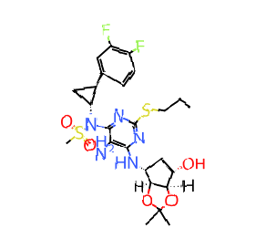 CCCSc1nc(N[C@@H]2C[C@H](O)[C@H]3OC(C)(C)O[C@H]32)c(N)c(N([C@@H]2C[C@H]2c2ccc(F)c(F)c2)S(C)(=O)=O)n1